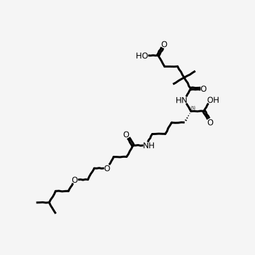 CC(C)CCOCCOCCC(=O)NCCCC[C@H](NC(=O)C(C)(C)CCC(=O)O)C(=O)O